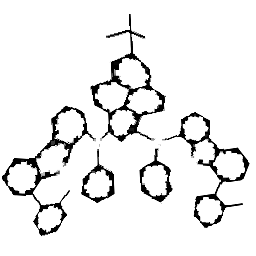 Cc1ccccc1-c1cccc2c1oc1c(N(c3ccccc3)c3cc(N(c4ccccc4)c4cccc5c4oc4c(-c6ccccc6C)cccc45)c4ccc5cc(C(C)(C)C)cc6ccc3c4c65)cccc12